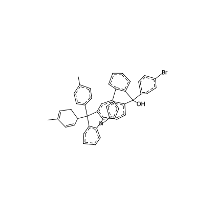 CC1=CCC(C2(c3ccc(C)cc3)c3ccccc3-c3ccc(-c4ccccc4C(O)(c4ccc(Br)cc4)c4ccc(Br)cc4)cc32)C=C1